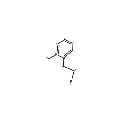 Cc1ccccc1CCF